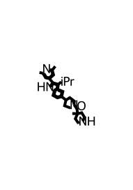 Cc1cc(-c2[nH]c3ccc(C4CCN(C(=O)C5(C)CCNCC5)CC4)cc3c2C(C)C)cc(C)n1